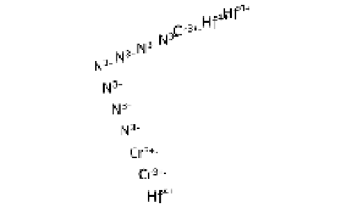 [Cr+3].[Cr+3].[Cr+3].[Hf+4].[Hf+4].[Hf+4].[N-3].[N-3].[N-3].[N-3].[N-3].[N-3].[N-3]